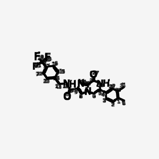 Cc1ccc(-c2cn3cc(C(=O)NCc4ccc(C(F)(F)F)cc4)nc3c(=O)[nH]2)cc1C